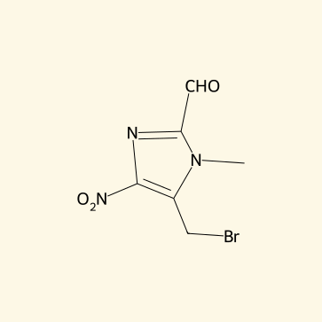 Cn1c(C=O)nc([N+](=O)[O-])c1CBr